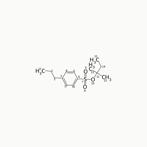 CCCc1ccc(S(=O)(=O)OC(C)(C)CC)cc1